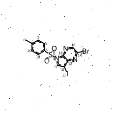 Cc1ccc(S(=O)(=O)n2cc(I)c3nc(Br)cnc32)cc1